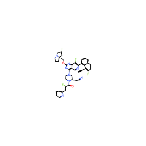 C#Cc1c(F)ccc2cccc(-c3ncc4c(N5CCN(C(=O)/C(F)=C/c6ccccn6)[C@@H](CC#N)C5)nc(OC[C@@]56CCCN5C[C@H](F)C6)nc4c3F)c12